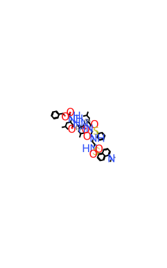 CC(C)CC(NC(=O)OCc1ccccc1)C(=O)N[C@@H](CC(C)C)C(=O)N[C@@H](CC(C)C)C(=O)NC(Sc1ccccc1)C(=O)NCCNS(=O)(=O)c1cccc2c(N(C)C)cccc12